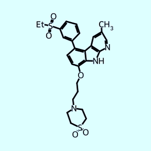 CCS(=O)(=O)c1cccc(-c2ccc(OCCCN3CCS(=O)(=O)CC3)c3[nH]c4ncc(C)cc4c23)c1